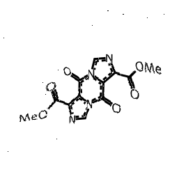 COC(=O)c1ncn2c(=O)c3c(C(=O)OC)ncn3c(=O)c12